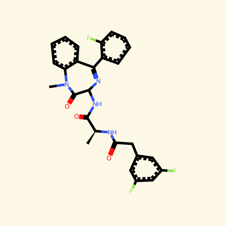 C[C@H](NC(=O)Cc1cc(F)cc(F)c1)C(=O)NC1N=C(c2ccccc2F)c2ccccc2N(C)C1=O